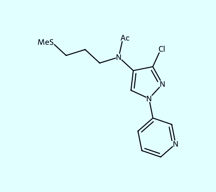 CSCCCN(C(C)=O)c1cn(-c2cccnc2)nc1Cl